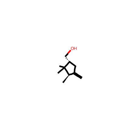 C=C1C[C@@H](CO)C(C)(C)[C@@H]1C